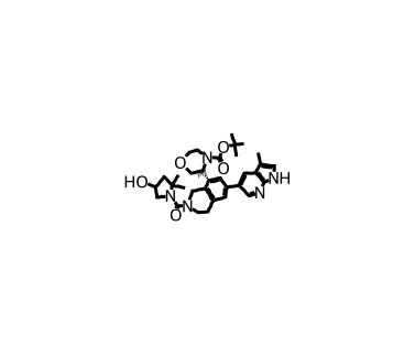 Cc1c[nH]c2ncc(-c3cc4c(c([C@@H]5COCCN5C(=O)OC(C)(C)C)c3)CN(C(=O)N3CC(O)CC3(C)C)CC4)cc12